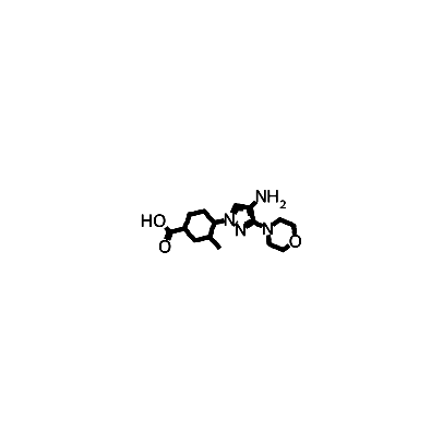 CC1CC(C(=O)O)CCC1n1cc(N)c(N2CCOCC2)n1